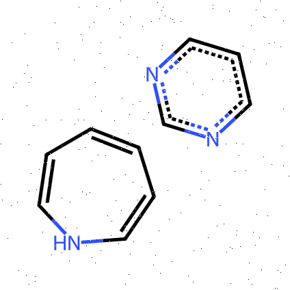 C1=CC=CNC=C1.c1cncnc1